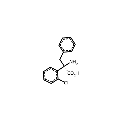 N[C@@](Cc1ccccc1)(C(=O)O)c1ccccc1Cl